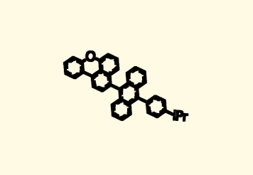 CC(C)c1ccc(-c2c3ccccc3c(-c3ccc4c5c(cccc35)Oc3ccccc3-4)c3ccccc23)cc1